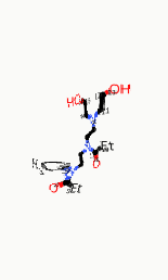 CCC(=O)N(C)CCN(CCN(CCO)CCO)C(=O)CC